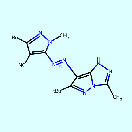 Cc1n[nH]c2c(/N=N/c3c(C#N)c(C(C)(C)C)nn3C)c(C(C)(C)C)nn12